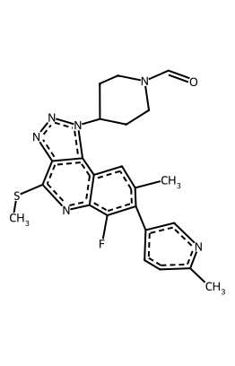 CSc1nc2c(F)c(-c3ccc(C)nc3)c(C)cc2c2c1nnn2C1CCN(C=O)CC1